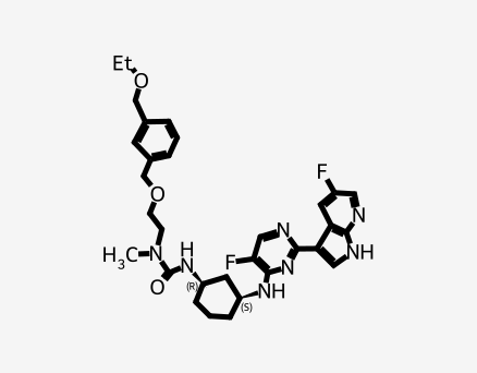 CCOCc1cccc(COCCN(C)C(=O)N[C@@H]2CCC[C@H](Nc3nc(-c4c[nH]c5ncc(F)cc45)ncc3F)C2)c1